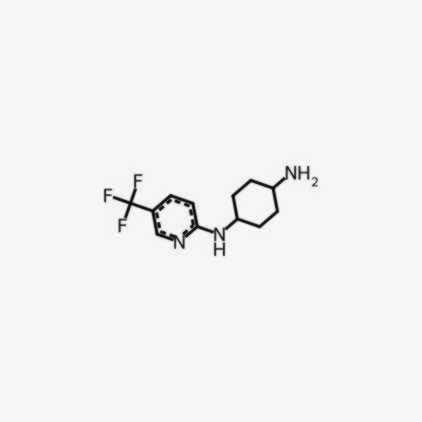 NC1CCC(Nc2ccc(C(F)(F)F)cn2)CC1